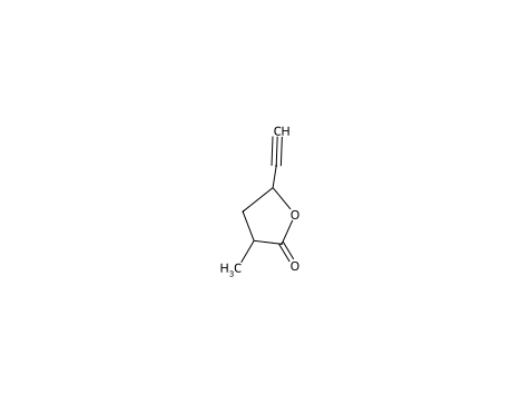 C#CC1CC(C)C(=O)O1